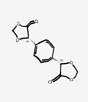 O=C1OCO[C@H]1c1ccc([C@@H]2OCOC2=O)cc1